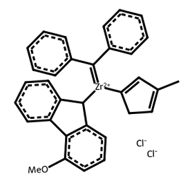 COc1cccc2c1-c1ccccc1[CH]2[Zr+2]([C]1=CC(C)=CC1)=[C](c1ccccc1)c1ccccc1.[Cl-].[Cl-]